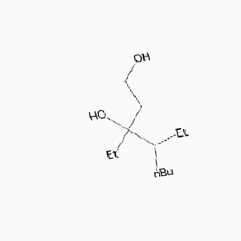 CCCCC(CC)C(O)(CC)CCO